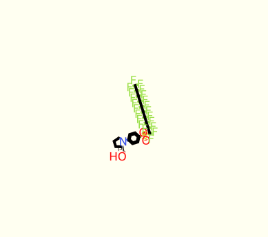 O=S(=O)(c1ccc(N2CCC[C@H]2CO)cc1)C(F)(F)C(F)(F)C(F)(F)C(F)(F)C(F)(F)C(F)(F)C(F)(F)C(F)(F)C(F)(F)C(F)(F)F